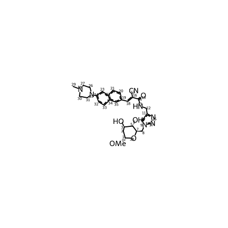 CO[C@@H]1C[C@@H](O)[C@H](O)[C@@H](Cn2cc(CNC(=O)/C(C#N)=C/c3ccc4cc(N5CCN(C)CC5)ccc4c3)nn2)O1